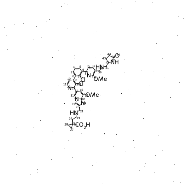 COc1nc(-c2cccc(-c3ccnc(-c4cc(OC)c5nc(CNCCC6(C(=O)O)CC6)cn5c4)c3Cl)c2Cl)ccc1CNC[C@H]1CCC(=O)N1